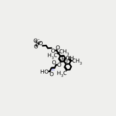 C=C(C)C1CCC(C)=CC1c1c(O)cc(C(C)(C)C(=O)OCCCCO[N+](=O)[O-])cc1OC(=O)/C=C/C(=O)O